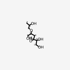 CC(O)COC(CO)CC(O)C(O)CO